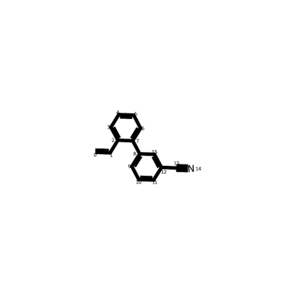 C=Cc1ccccc1-c1cccc(C#N)c1